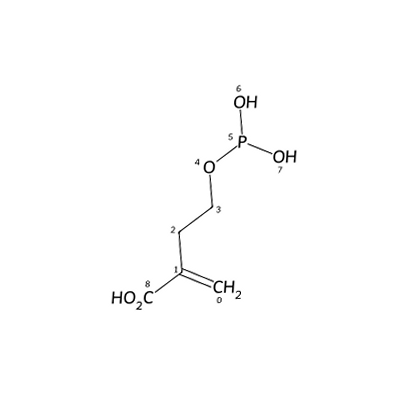 C=C(CCOP(O)O)C(=O)O